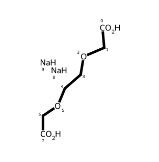 O=C(O)COCCOCC(=O)O.[NaH].[NaH]